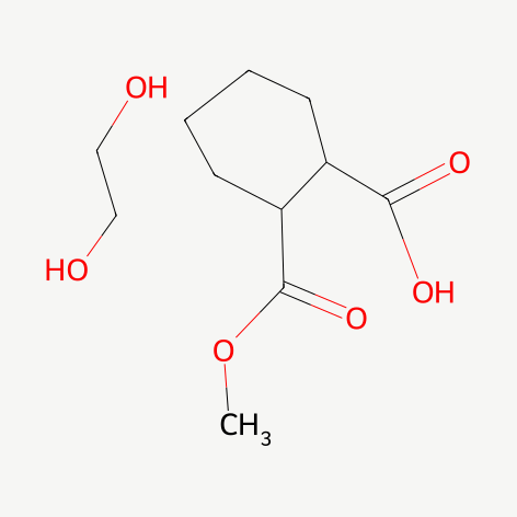 COC(=O)C1CCCCC1C(=O)O.OCCO